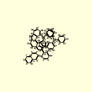 C1=CC(c2ccc3ccccc3c2)c2c(c3ccc(N(c4ccccc4)c4ccccc4)cc3c3cc4c5c(ccc4cc23)=Nc2cccc(N(c3ccccc3)c3ccccc3)c2-5)=C1